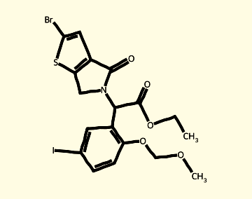 CCOC(=O)C(c1cc(I)ccc1OCOC)N1Cc2sc(Br)cc2C1=O